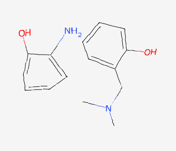 CN(C)Cc1ccccc1O.Nc1ccccc1O